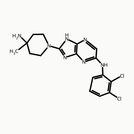 CC1(N)CCN(c2nc3nc(Nc4cccc(Cl)c4Cl)cnc3[nH]2)CC1